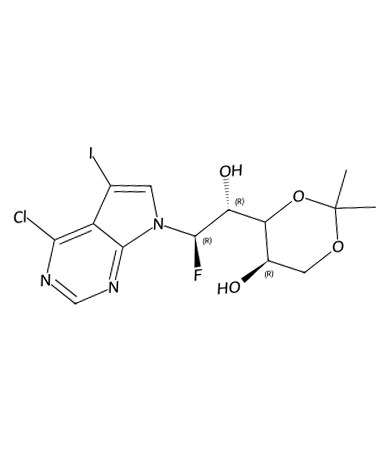 CC1(C)OC[C@@H](O)C([C@@H](O)[C@@H](F)n2cc(I)c3c(Cl)ncnc32)O1